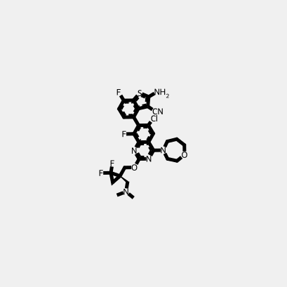 CN(C)C[C@@]1(COc2nc(N3CCCOCC3)c3cc(Cl)c(-c4ccc(F)c5sc(N)c(C#N)c45)c(F)c3n2)CC1(F)F